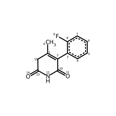 CC1=C(c2ccccc2F)C(=O)NC(=O)C1